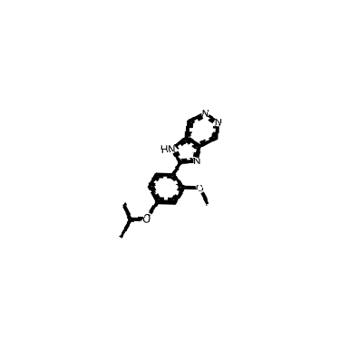 COc1cc(OC(C)C)ccc1-c1nc2cnncc2[nH]1